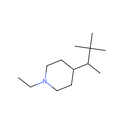 CCN1CCC(C(C)C(C)(C)C)CC1